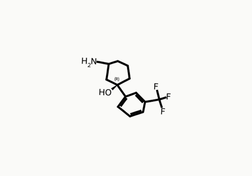 NC1CCC[C@](O)(c2cccc(C(F)(F)F)c2)C1